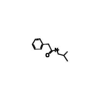 CC(C)C[N]C(=O)Cc1ccccc1